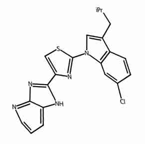 CC(C)Cc1cn(-c2nc(-c3nc4ncccc4[nH]3)cs2)c2cc(Cl)ccc12